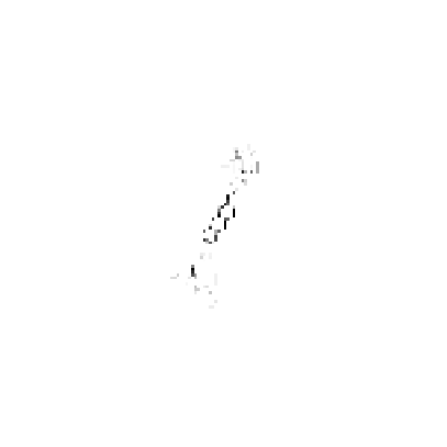 CC(C)(C)OC(=O)N[C@H](C(=O)OCC(=O)c1ccc2cc3cc(C(=O)COC(=O)[C@@H](NC(=O)OC(C)(C)C)C(C)(C)C)ccc3cc2c1)C(C)(C)C